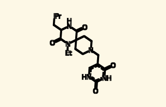 CCN1C(=O)C(CC(C)C)NC(=O)C12CCN(Cc1c[nH]c(=O)[nH]c1=O)CC2